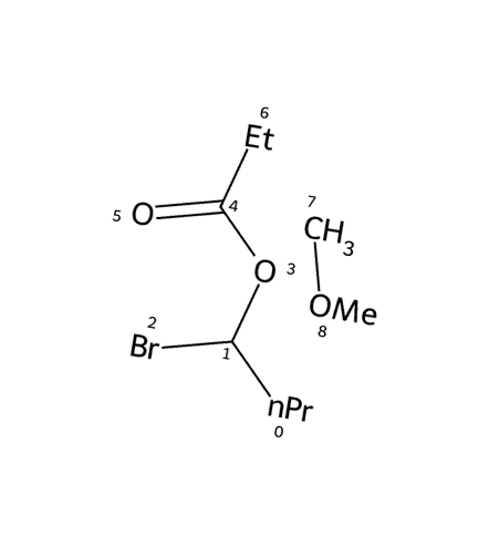 CCCC(Br)OC(=O)CC.COC